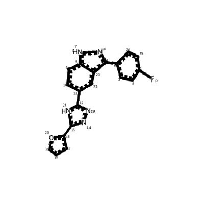 Fc1ccc(-c2n[nH]c3ccc(-c4nnc(-c5ccco5)[nH]4)cc23)cc1